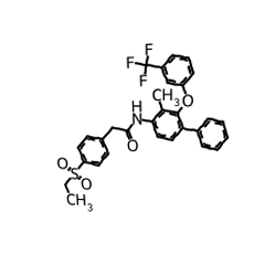 CCS(=O)(=O)c1ccc(CC(=O)Nc2ccc(-c3ccccc3)c(Oc3cccc(C(F)(F)F)c3)c2C)cc1